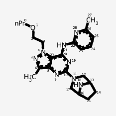 CCCOCCn1nc(C)c2nc(N3CC4CCC(C3)N4)nc(Nc3cccc(C)n3)c21